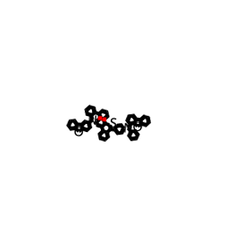 c1ccc(-c2ccccc2N(c2ccc3oc4ccccc4c3c2)c2ccc3c(c2)c2ccccc2c2c4ccc(N(c5ccccc5)c5cccc6c5oc5ccccc56)cc4sc32)cc1